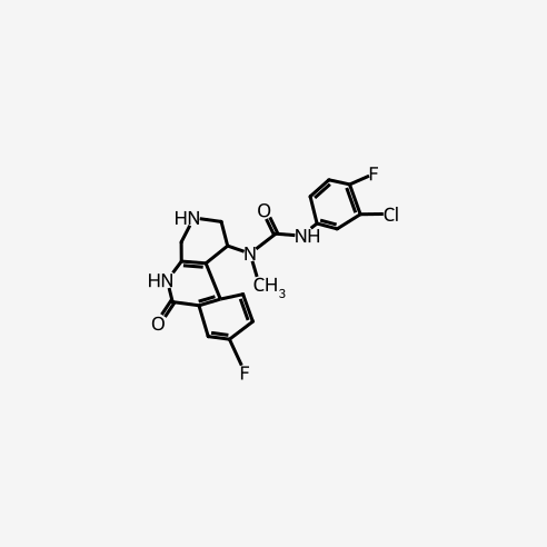 CN(C(=O)Nc1ccc(F)c(Cl)c1)C1CNCc2[nH]c(=O)c3cc(F)ccc3c21